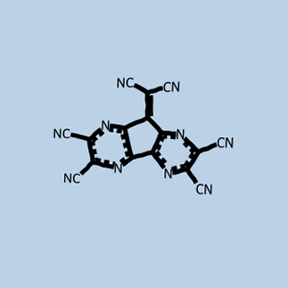 N#CC(C#N)=C1c2nc(C#N)c(C#N)nc2-c2nc(C#N)c(C#N)nc21